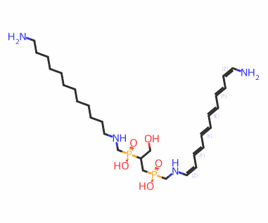 N\C=C/C=C/C=C/C=C/C=C/C=C\NCP(=O)(O)CC(CO)P(=O)(O)CNCCCCCCCCCCCCN